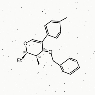 CC[C@H]1OC=C(c2ccc(C)cc2)[C@@H](OCc2ccccc2)[C@H]1C